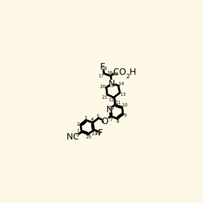 N#Cc1ccc(COc2cccc(C3CCN(C(CF)C(=O)O)CC3)n2)c(F)c1